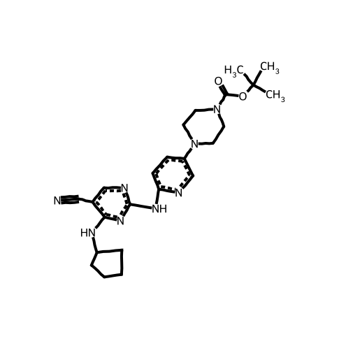 CC(C)(C)OC(=O)N1CCN(c2ccc(Nc3ncc(C#N)c(NC4CCCC4)n3)nc2)CC1